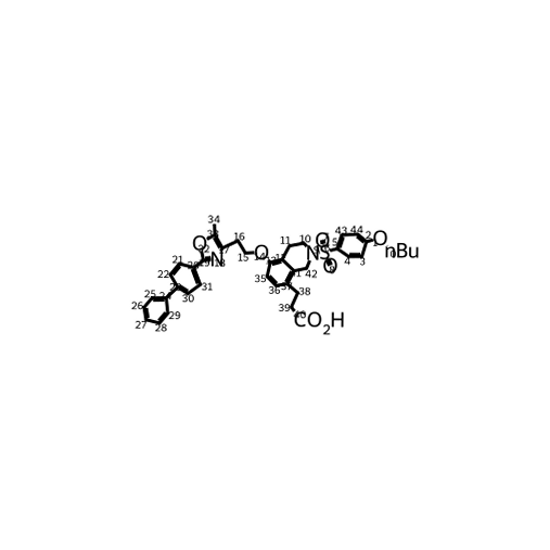 CCCCOc1ccc(S(=O)(=O)N2CCc3c(OCCc4nc(-c5ccc(-c6ccccc6)cc5)oc4C)ccc(CCC(=O)O)c3C2)cc1